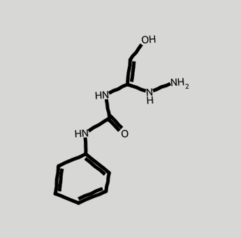 NN/C(=C\O)NC(=O)Nc1ccccc1